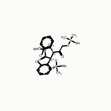 CON(C)C(=O)[C@](O[Si](C)(C)C(C)(C)C)(c1ccccc1Cl)[C@H](C(=O)CO[Si](C)(C)C(C)(C)C)c1ccccc1Cl